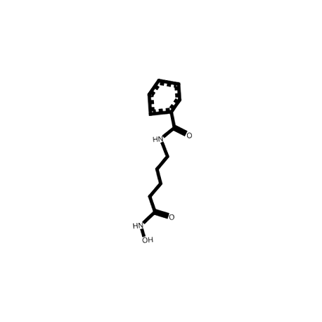 O=C(CCCCNC(=O)c1ccccc1)NO